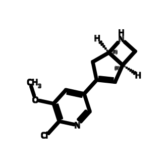 COc1cc(C2=C[C@@H]3CN[C@@H]3C2)cnc1Cl